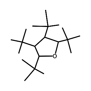 CC(C)(C)C1OC(C(C)(C)C)C(C(C)(C)C)C1C(C)(C)C